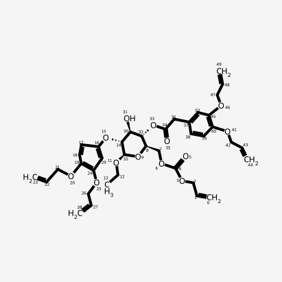 C=CCOC(=O)OC[C@H]1O[C@@H](OCC)[C@H](Oc2ccc(OCC=C)c(OCC=C)c2)[C@@H](O)[C@@H]1OC(=O)Cc1ccc(OCC=C)c(OCC=C)c1